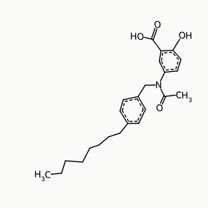 CCCCCCCCc1ccc(CN(C(C)=O)c2ccc(O)c(C(=O)O)c2)cc1